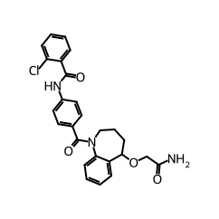 NC(=O)COC1CCCN(C(=O)c2ccc(NC(=O)c3ccccc3Cl)cc2)c2ccccc21